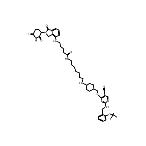 N#Cc1cnc(NCc2ccccc2OC(F)(F)F)nc1NCC1CCC(NCCCCCCCNC(=O)CCCCNc2cccc3c2CN(C2CCC(=O)NC2=O)C3=O)CC1